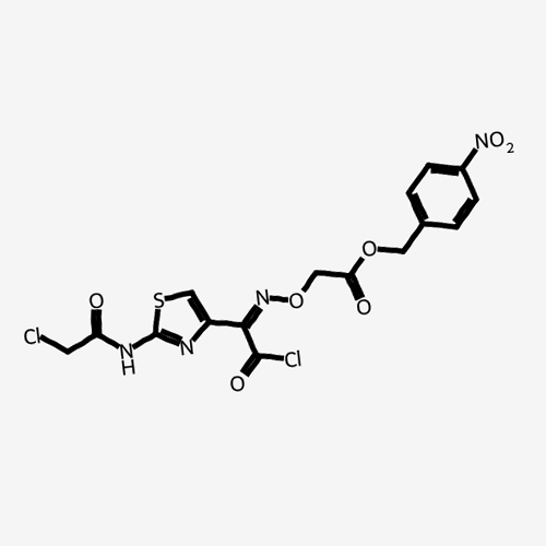 O=C(CCl)Nc1nc(/C(=N/OCC(=O)OCc2ccc([N+](=O)[O-])cc2)C(=O)Cl)cs1